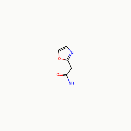 [NH]C(=O)Cc1ncco1